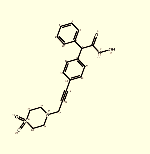 O=C(NO)C(c1ccccc1)c1ccc(C#CCN2CCS(=O)(=O)CC2)cc1